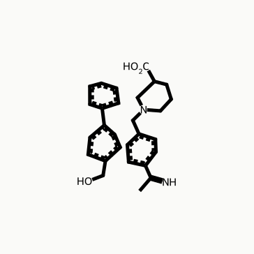 CC(=N)c1ccc(CN2CCCC(C(=O)O)C2)cc1.OCc1ccc(-c2ccccc2)cc1